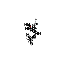 CN1C(C)(C)CC(OC(=O)CC(C(=O)OC2CC(C)(C)N(C)C(C)(C)C2)C(=O)OC2CC(C)(C)N(C)C(C)(CCC3(C)CC(OC(=O)c4cc(C(=O)OC5CC(C)(C)NC(C)(C)C5)c(COC5CC(C)(C)NC(C)(C)C5)cc4C(=O)OC4CC(C)(C)NC(C)(C)C4)CC(C)(C)N3)C2)CC1(C)C